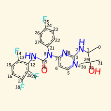 CC(Nc1nccc(N(C(=O)Nc2c(F)ccc(F)c2F)c2ccc(F)cc2)n1)C(C)(C)O